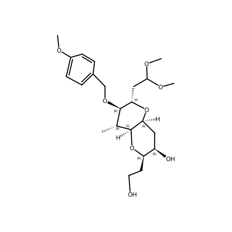 COc1ccc(CO[C@@H]2[C@@H](C)[C@@H]3O[C@H](CCO)[C@H](O)C[C@@H]3O[C@H]2CC(OC)OC)cc1